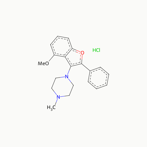 COc1cccc2oc(-c3ccccc3)c(N3CCN(C)CC3)c12.Cl